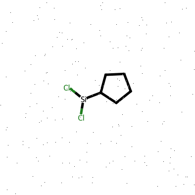 Cl[Si](Cl)C1CCCC1